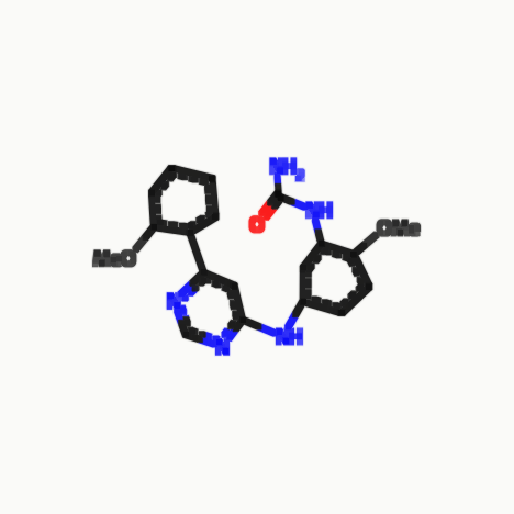 COc1ccc(Nc2cc(-c3ccccc3OC)ncn2)cc1NC(N)=O